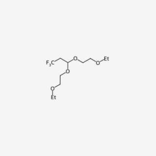 CCOCCOC(CC(F)(F)F)OCCOCC